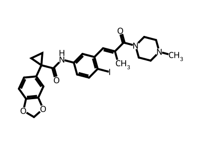 CC(=Cc1cc(NC(=O)C2(c3ccc4c(c3)OCO4)CC2)ccc1I)C(=O)N1CCN(C)CC1